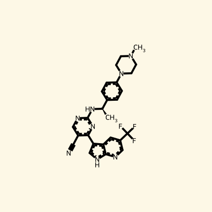 C[C@@H](Nc1ncc(C#N)c(-c2c[nH]c3ncc(C(F)(F)F)cc23)n1)c1ccc(N2CCN(C)CC2)cc1